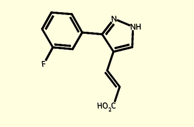 O=C(O)C=Cc1c[nH]nc1-c1cccc(F)c1